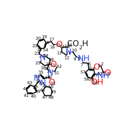 O=C1COc2c(CCNCCN3CCC(OCCc4cccc(CN5CCC6(CC5)CN(C(=O)c5cnc(-c7ccccc7)n5C5CCCCC5)CCO6)c4)[C@H]3C(=O)O)ccc(O)c2N1